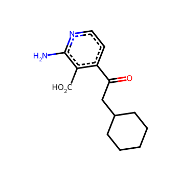 Nc1nccc(C(=O)CC2CCCCC2)c1C(=O)O